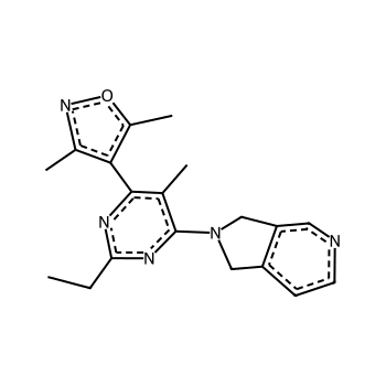 CCc1nc(-c2c(C)noc2C)c(C)c(N2Cc3ccncc3C2)n1